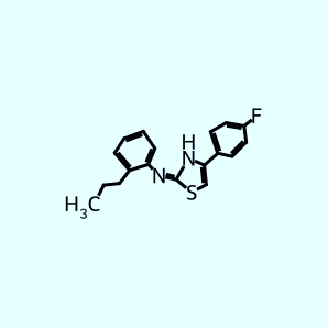 CCCc1ccccc1N=c1[nH]c(-c2ccc(F)cc2)cs1